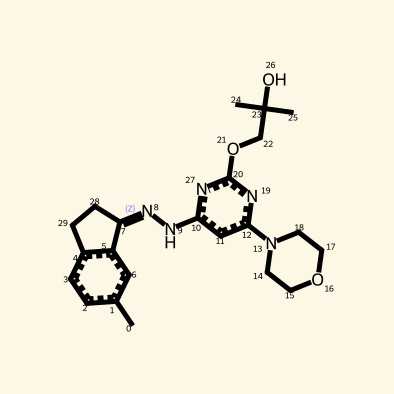 Cc1ccc2c(c1)/C(=N\Nc1cc(N3CCOCC3)nc(OCC(C)(C)O)n1)CC2